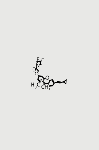 Cc1cc(OCC(=O)N2CC(F)(F)C2)cc(=O)n1[C@H](C)c1ccc(C#CC2CC2)cc1